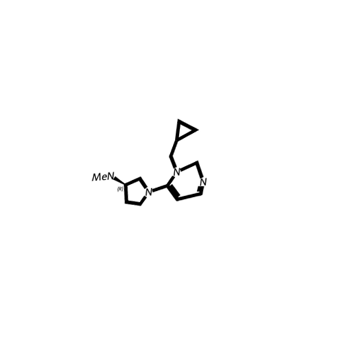 CN[C@@H]1CCN(C2=CC=NCN2CC2CC2)C1